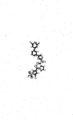 Cc1cc(-c2cccc(-c3csc(NC(=O)[C@@H]4CCCN4C(=O)c4cc(C)n(S(C)(=O)=O)c4)n3)c2)cc(C)n1